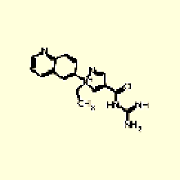 CC[N+]1(c2ccc3ncccc3c2)C=C(C(=O)NC(=N)N)C=N1